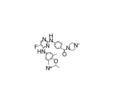 Cc1cc(Nc2nc(Nc3ccc(C(=O)N4CCN(C)CC4)cc3)ncc2F)cc(C)c1OC(C)C#N